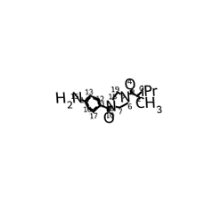 CC(C)C(C)C(=O)N1CCN(C(=O)c2ccc(N)cc2)CC1